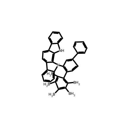 Bc1c(B)c(B)c(-c2ccc(-c3ccccc3)cc2-n2c3ccccc3c3ccc4c5ccccc5[nH]c4c32)c(B)c1B